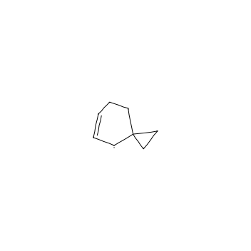 [CH]1C=CCCC12CC2